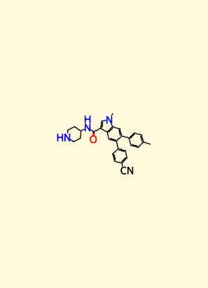 Cc1ccc(-c2cc3c(cc2-c2ccc(C#N)cc2)c(C(=O)NC2CCNCC2)cn3C)cc1